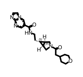 O=C(NCC[C@@H]1[C@H]2CN(C(=O)CC3CCOCC3)C[C@@H]12)c1cnc2nccn2c1